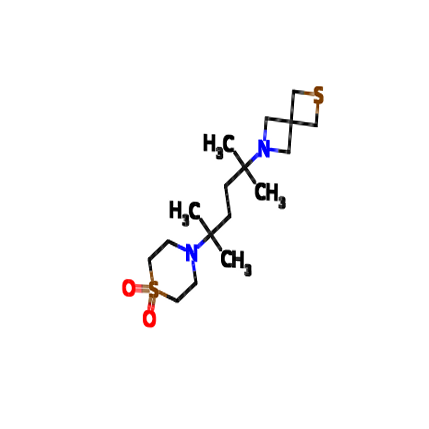 CC(C)(CCC(C)(C)N1CC2(CSC2)C1)N1CCS(=O)(=O)CC1